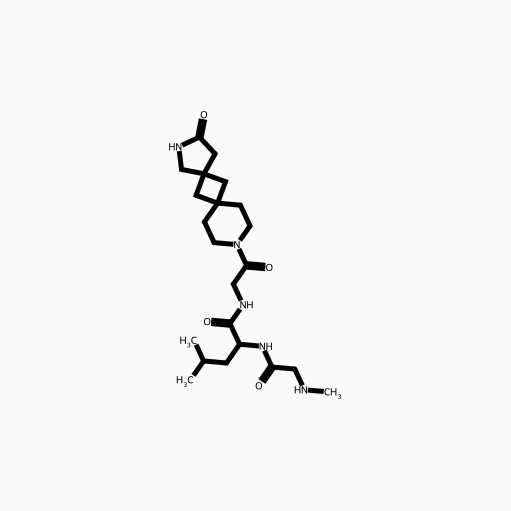 CNCC(=O)NC(CC(C)C)C(=O)NCC(=O)N1CCC2(CC1)CC1(CNC(=O)C1)C2